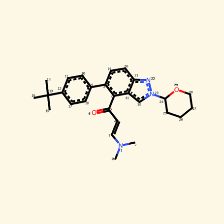 CN(C)/C=C/C(=O)c1c(-c2ccc(C(C)(C)C)cc2)ccc2nn(C3CCCCO3)cc12